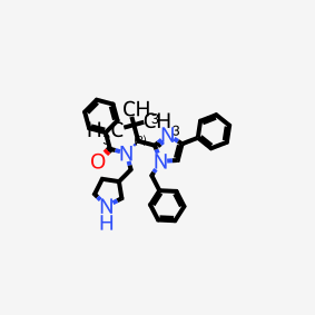 CC(C)(C)[C@H](c1nc(-c2ccccc2)cn1Cc1ccccc1)N(CC1CCNC1)C(=O)c1ccccc1